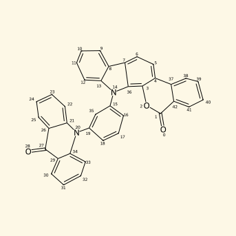 O=c1oc2c(ccc3c4ccccc4n(-c4cccc(-n5c6ccccc6c(=O)c6ccccc65)c4)c32)c2ccccc12